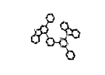 c1ccc(-c2cc(-c3cccc(-c4nc(-c5ccccc5)nc(-n5c6ccccc6c6ccccc65)n4)c3)c3c(c2)oc2ccccc23)cc1